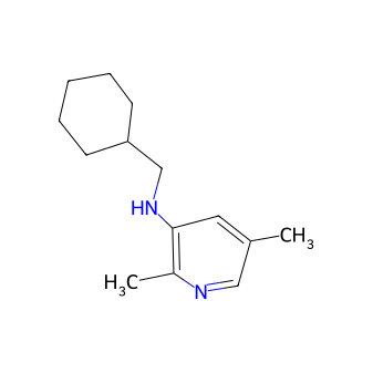 Cc1cnc(C)c(NCC2CCCCC2)c1